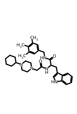 Cc1cc(CNC(=O)C(Cc2c[nH]c3ccccc23)NC(=O)CN2CCN(C3CCCCC3)CC2)cc(C)c1C